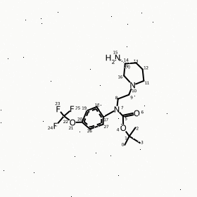 CC(C)(C)OC(=O)N(CCN1CCC[C@@H](N)C1)c1ccc(OC(F)(F)F)cc1